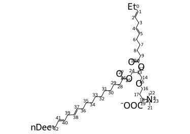 CC/C=C/C/C=C/CCCCC(=O)OC(COCCC(C(=O)[O-])[N+](C)(C)C)COC(=O)CCCCCCCCC/C=C/C/C=C/CCCCCCCCCCC